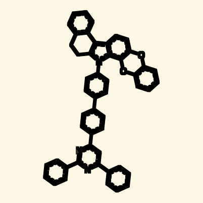 c1ccc(-c2cc(-c3ccc(-c4ccc(-n5c6c(c7ccc8c(c75)Oc5ccccc5O8)-c5ccccc5CC6)cc4)cc3)nc(-c3ccccc3)n2)cc1